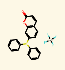 O=c1ccc2ccc([S+](c3ccccc3)c3ccccc3)cc2o1.[F][Ga-]([F])([F])[F]